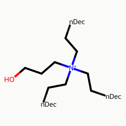 CCCCCCCCCCCC[N+](CCCO)(CCCCCCCCCCCC)CCCCCCCCCCCC